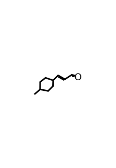 CC1CCC(/C=C/C=O)CC1